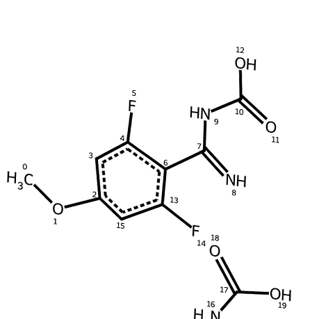 COc1cc(F)c(C(=N)NC(=O)O)c(F)c1.NC(=O)O